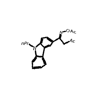 CCCn1c2ccccc2c2cc(C(CC(C)=O)=NOC(C)=O)ccc21